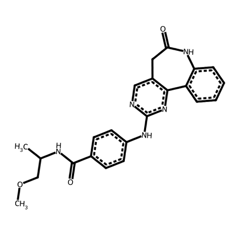 COCC(C)NC(=O)c1ccc(Nc2ncc3c(n2)-c2ccccc2NC(=O)C3)cc1